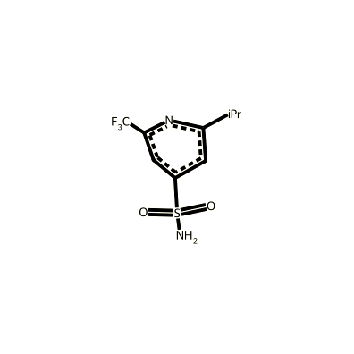 CC(C)c1cc(S(N)(=O)=O)cc(C(F)(F)F)n1